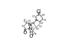 CC1(C)CC(=O)N2C(CO)C3Cc4ccc(Cl)cc4C3N21